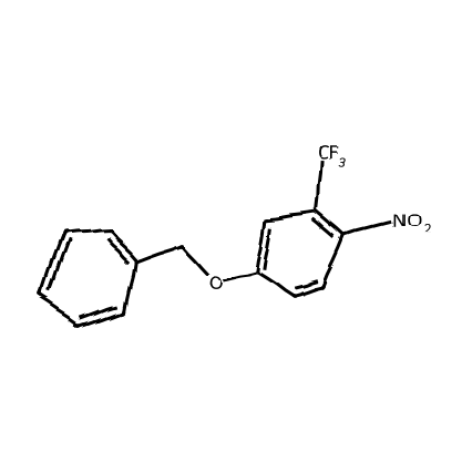 O=[N+]([O-])c1ccc(OCc2ccccc2)cc1C(F)(F)F